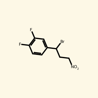 O=[N+]([O-])CCC(Br)c1ccc(F)c(F)c1